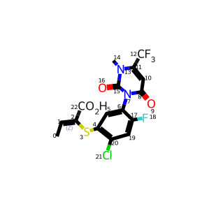 C/C=C(\Sc1cc(-n2c(=O)cc(C(F)(F)F)n(C)c2=O)c(F)cc1Cl)C(=O)O